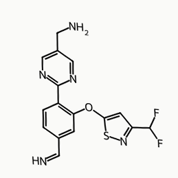 N=Cc1ccc(-c2ncc(CN)cn2)c(Oc2cc(C(F)F)ns2)c1